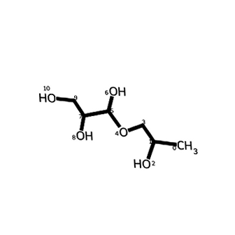 CC(O)COC(O)C(O)CO